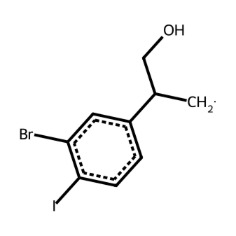 [CH2]C(CO)c1ccc(I)c(Br)c1